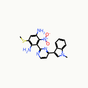 CSc1cc(N)c([N+](=O)[O-])c(-c2nccc(-c3cn(C)c4ccccc34)n2)c1N